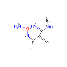 C=C(C(=N)NCC)/C(C)=N\ON